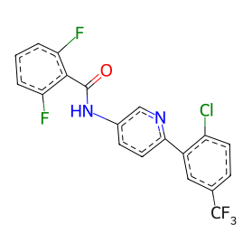 O=C(Nc1ccc(-c2cc(C(F)(F)F)ccc2Cl)nc1)c1c(F)cccc1F